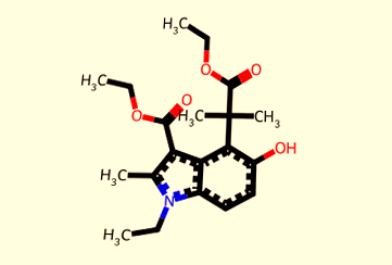 CCOC(=O)c1c(C)n(CC)c2ccc(O)c(C(C)(C)C(=O)OCC)c12